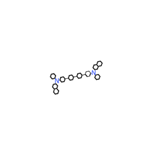 C1=C(c2ccc(-c3ccc(-c4ccc(N(c5ccccc5)c5ccc6ccccc6c5)cc4)cc3)cc2)CCC(N(c2ccccc2)c2ccc3ccccc3c2)=C1